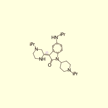 CC(C)Nc1ccc2c(c1)/C(=C1\CN(C(C)C)CCN1)C(=O)N2C1CCN(C(C)C)CC1